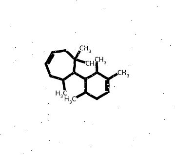 CC1=CCC(C)[C](C2C(C)CC=CCC2(C)C)C1C